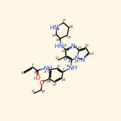 C=CC(=O)Nc1cc(Nc2c(C)c(NC3CCCNC3)nc3ccnn23)ccc1OCC